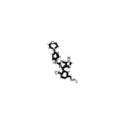 NCc1ccc(Cl)c(-c2nc(Nc3ccc(N4CCOCC4)cc3)nc3[nH]cnc23)c1